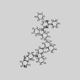 c1ccc(-c2cc(-n3c4ccccc4c4cc(-c5cc(-c6ccc7c(c6)c6ccccc6n7-c6ccc7sc8ccncc8c7c6)c6ccccc6c5)ccc43)nc(-c3ccccc3)n2)cc1